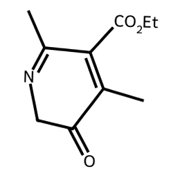 CCOC(=O)C1=C(C)C(=O)CN=C1C